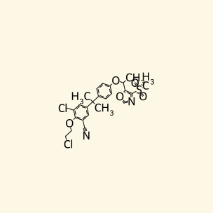 CC(Oc1ccc(C(C)(C)c2cc(Cl)c(OCCCl)c(C#N)c2)cc1)c1ocnc1S(C)(=O)=O